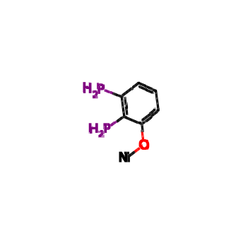 Pc1cccc([O][Ni])c1P